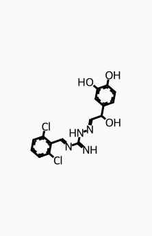 N=C(N=Cc1c(Cl)cccc1Cl)NN=CC(O)c1ccc(O)c(O)c1